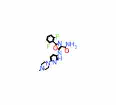 CN1CCN(c2ccc(Nc3oc(-c4c(F)cccc4F)nc3C(N)=O)cn2)CC1